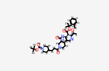 C=C(/C=N\C=C(/C)OCc1ccccc1)[C@H](CC(=O)OC(C)(C)C)NC(=O)[C@@H]1CCCN(C(=O)CCC2CCN(C(=O)OC(C)(C)C)CC2)C1